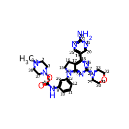 CN1CCN(OC(=O)Nc2cccc(N3CCc4c(-c5cnc(N)nc5)nc(N5CCOCC5)nc43)c2)CC1